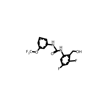 O=C(Nc1cccc(OC(F)(F)F)c1)Nc1cc(F)cc(F)c1CO